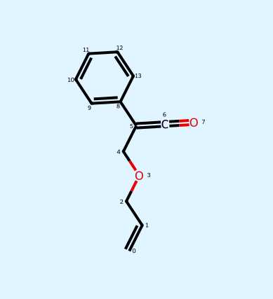 C=CCOCC(=C=O)c1ccccc1